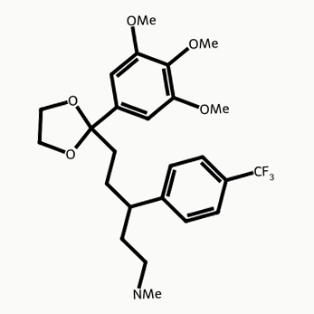 CNCCC(CCC1(c2cc(OC)c(OC)c(OC)c2)OCCO1)c1ccc(C(F)(F)F)cc1